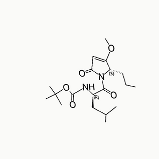 CCC[C@H]1C(OC)=CC(=O)N1C(=O)[C@@H](CC(C)C)NC(=O)OC(C)(C)C